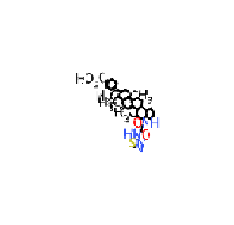 CC1(C)C(c2ccc(C(=O)O)cc2)=CCC2(C)C1CCC1(C)C2CCC2C3CCCC3(NC(=O)C(=O)Nc3nncs3)CC[C@]21C